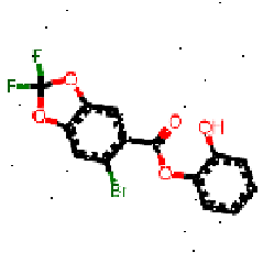 O=C(Oc1ccccc1O)c1cc2c(cc1Br)OC(F)(F)O2